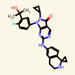 CC(C)(O)c1cc(-n2c3nc(Nc4ccc5c(c4)CCNC54CC4)ncc3c(=O)n2C2CC2)ccc1F